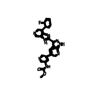 COC(=O)Nc1cncc(-c2cnc3[nH]nc(-c4nc5c(-c6ccccc6F)cncc5[nH]4)c3c2)c1